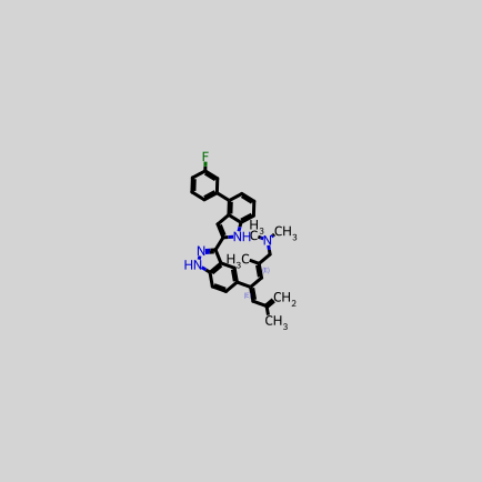 C=C(C)/C=C(\C=C(/C)CN(C)C)c1ccc2[nH]nc(-c3cc4c(-c5cccc(F)c5)cccc4[nH]3)c2c1